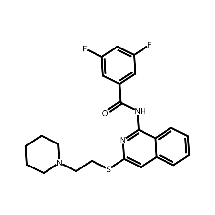 O=C(Nc1nc(SCCN2CCCCC2)cc2ccccc12)c1cc(F)cc(F)c1